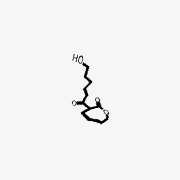 O=C(CCCCCO)C1CCCCOC1=O